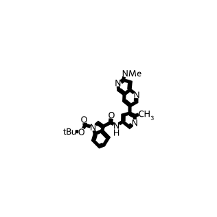 CNc1cc2ncc(-c3cc(NC(=O)c4cn(C(=O)OC(C)(C)C)c5ccccc45)cnc3C)cc2cn1